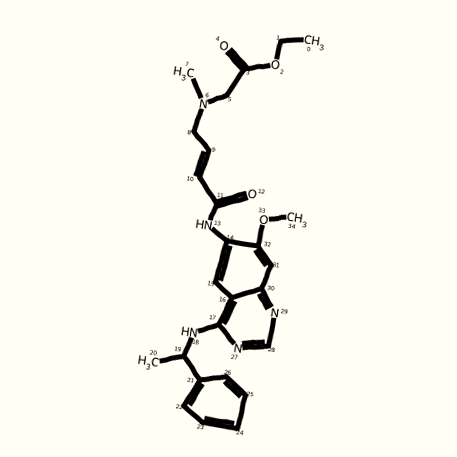 CCOC(=O)CN(C)CC=CC(=O)Nc1cc2c(NC(C)c3ccccc3)ncnc2cc1OC